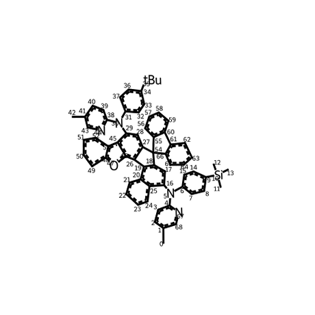 Cc1ccc(N(c2ccc([Si](C)(C)C)cc2)c2cc3c(c4ccccc24)-c2c(cc(N(c4ccc(C(C)(C)C)cc4)c4ccc(C)cn4)c4c2oc2ccccc24)C32c3ccccc3-c3ccccc32)nc1